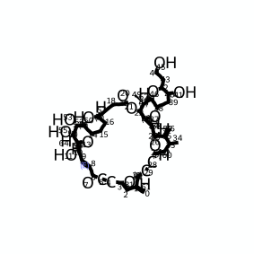 C=C1CC2CCC(=O)/C=C/C(O)[C@@H]3OC4CC[C@H](CC(=O)OC5[C@H](C[C@H]6O[C@@H](CC[C@@H]1O2)CC(C)C6=C)OC1CC(O)C(CCO)O[C@H]1[C@@H]5C)O[C@@H]4C(O)[C@@H]3O